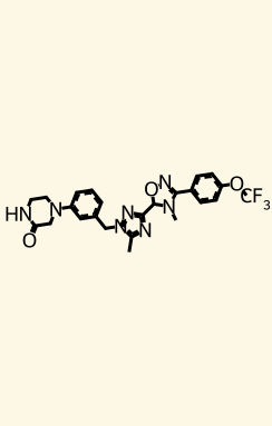 Cc1nc(C2ON=C(c3ccc(OC(F)(F)F)cc3)N2C)nn1Cc1cccc(N2CCNC(=O)C2)c1